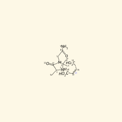 CC1NC(C)(C)N(CC(N)=O)C1=O.O=C(O)/C=C\C(=O)O